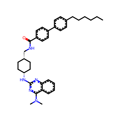 CCCCCCc1ccc(-c2ccc(C(=O)NC[C@H]3CC[C@@H](Nc4nc(N(C)C)c5ccccc5n4)CC3)cc2)cc1